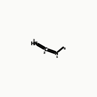 CN=C=N